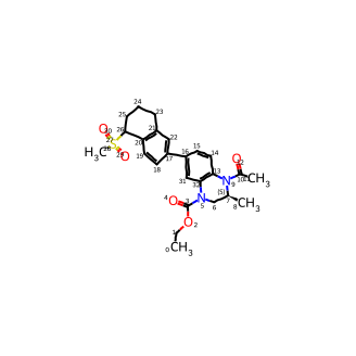 CCOC(=O)N1C[C@H](C)N(C(C)=O)c2ccc(-c3ccc4c(c3)CCCC4S(C)(=O)=O)cc21